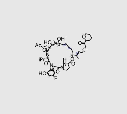 CC(=O)CC[C@H]1C(=O)N[C@@H](C(C)C)C(=O)NC(c2cc(O)cc(F)c2)C(=O)N2CCCC(N2)C(=O)O[C@H](/C(C)=C/C=C=CC(=O)C2CCCCO2)C/C=C/C=C/[C@H](O)[C@H](C)[C@H]1O